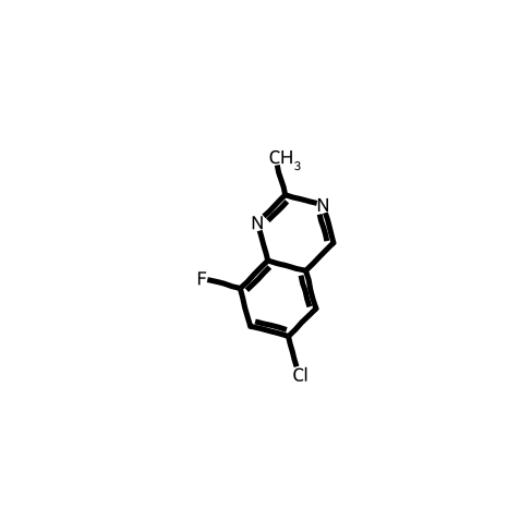 Cc1ncc2cc(Cl)cc(F)c2n1